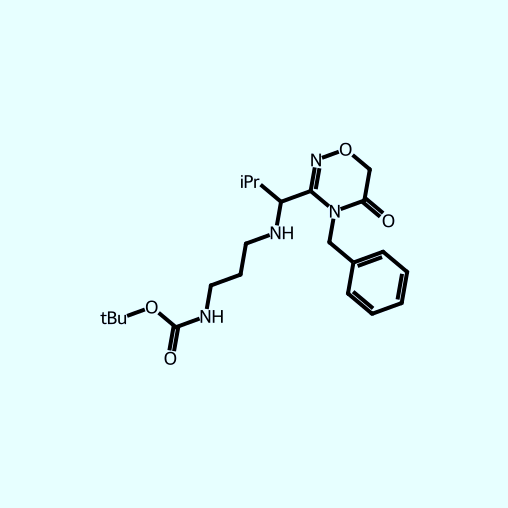 CC(C)C(NCCCNC(=O)OC(C)(C)C)C1=NOCC(=O)N1Cc1ccccc1